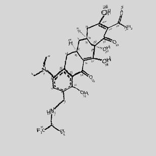 CCC(NCc1cc(N(C)C)c2c(c1O)C(=O)C1=C(O)[C@]3(O)C(=O)C(C(N)=O)=C(O)C[C@@H]3C[C@@H]1C2)C(F)(F)F